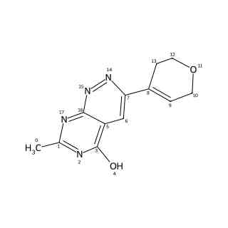 Cc1nc(O)c2cc(C3=CCOCC3)nnc2n1